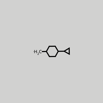 [CH2]C1CCC(C2CC2)CC1